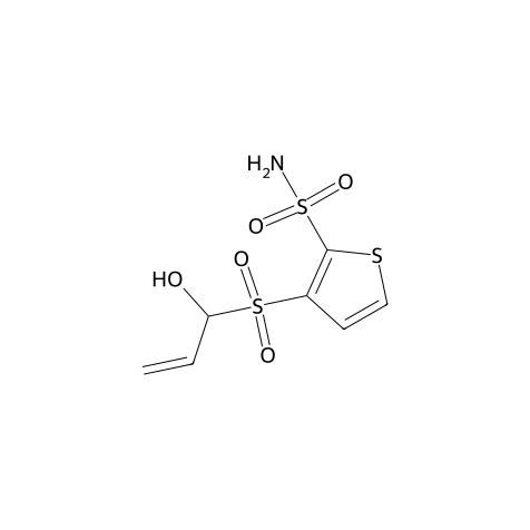 C=CC(O)S(=O)(=O)c1ccsc1S(N)(=O)=O